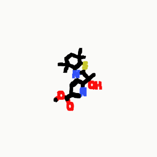 COC(=O)c1ccc(C(C)(O)c2nc3c(s2)C(C)(C)CCC3(C)C)nc1